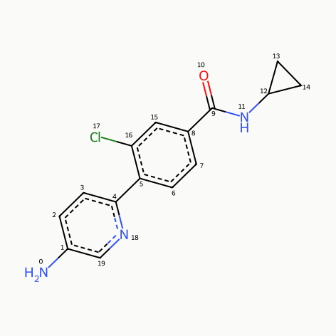 Nc1ccc(-c2ccc(C(=O)NC3CC3)cc2Cl)nc1